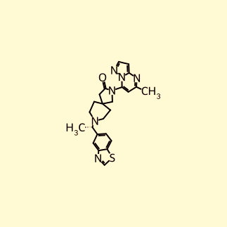 Cc1cc(N2CC3(CCN([C@@H](C)c4ccc5scnc5c4)CC3)CC2=O)n2nccc2n1